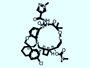 CN(C)C(=O)O[C@H]1C=CCOC(C)(C)C(=O)N=S(=O)(NC(=O)c2cnn(C)c2)c2ccc3c(c2)N(C[C@@H]2CC[C@H]21)C[C@@]1(CCCc2cc(Cl)ccc21)CO3